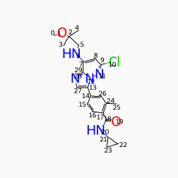 COC(C)(C)CNc1cc(Cl)nn2c(-c3ccc(C(=O)NC4CC4)c(C)c3)cnc12